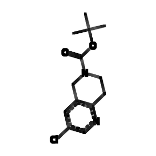 CC(C)(C)OC(=O)N1CCc2ncc(Cl)cc2C1